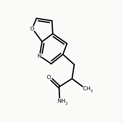 CC(Cc1cnc2occc2c1)C(N)=O